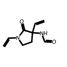 C=CN1CCC(C=C)(NC=O)C1=O